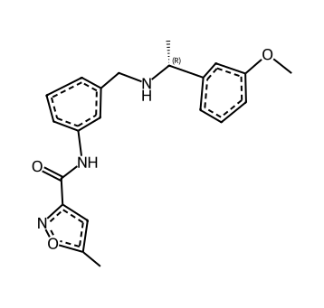 COc1cccc([C@@H](C)NCc2cccc(NC(=O)c3cc(C)on3)c2)c1